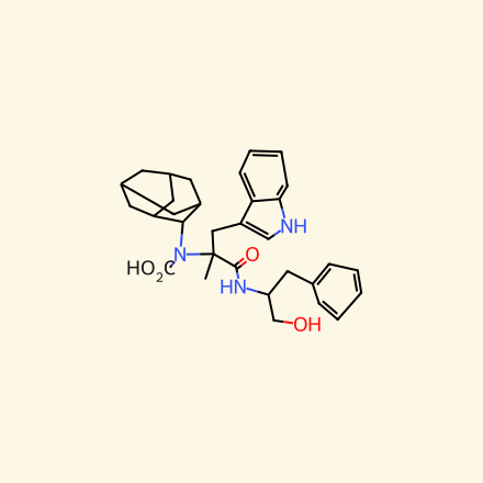 CC(Cc1c[nH]c2ccccc12)(C(=O)NC(CO)Cc1ccccc1)N(C(=O)O)C1C2CC3CC(C2)CC1C3